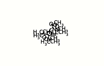 COC(=O)[C@H](Cc1ccc(C(=O)C(C)(C)C)c(C(=O)C(C)(C)C)c1)NC(=O)C(C)(C)C